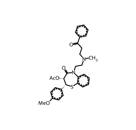 COc1ccc([C@H]2Sc3ccccc3N(CCN(C)CCC(=O)c3ccccc3)C(=O)[C@H]2OC(C)=O)cc1